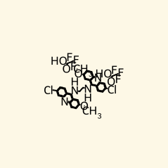 COc1ccc2nc3cc(Cl)ccc3c(NCCNc3c4ccc(Cl)cc4nc4ccc(OC)cc34)c2c1.O=C(O)C(F)(F)F.O=C(O)C(F)(F)F